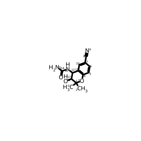 CC1(C)Oc2ccc(C#N)cc2C(NC(N)=O)C1O